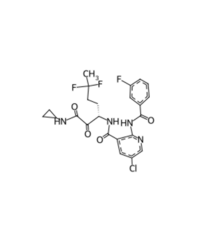 CC(F)(F)CC[C@H](NC(=O)c1cc(Cl)cnc1NC(=O)c1cccc(F)c1)C(=O)C(=O)NC1CC1